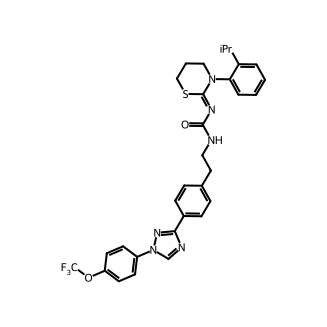 CC(C)c1ccccc1N1CCCS/C1=N\C(=O)NCCc1ccc(-c2ncn(-c3ccc(OC(F)(F)F)cc3)n2)cc1